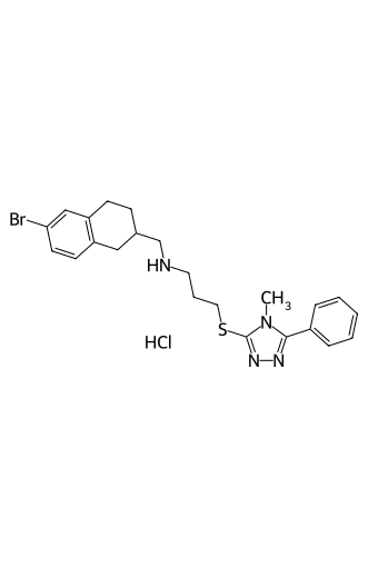 Cl.Cn1c(SCCCNCC2CCc3cc(Br)ccc3C2)nnc1-c1ccccc1